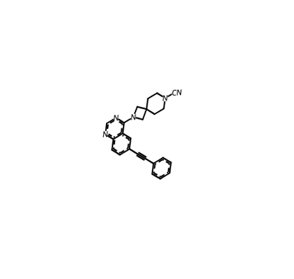 N#CN1CCC2(CC1)CN(c1ncnc3ccc(C#Cc4ccccc4)cc13)C2